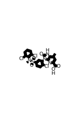 Cc1cc(C(=O)O)nc2c1[nH]c(=O)n2-c1cc(S(=O)(=O)N(C)c2c(Cl)cccc2Cl)ccc1Cl